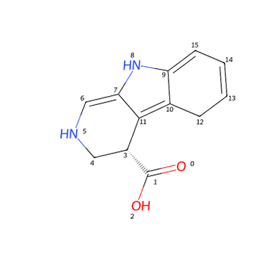 O=C(O)[C@@H]1CNC=c2[nH]c3c(c21)CC=CC=3